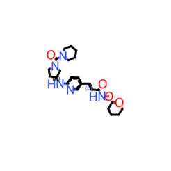 O=C(/C=C/c1ccc(N[C@@H]2CCN(C(=O)N3CCCCC3)C2)nc1)NOC1CCCCO1